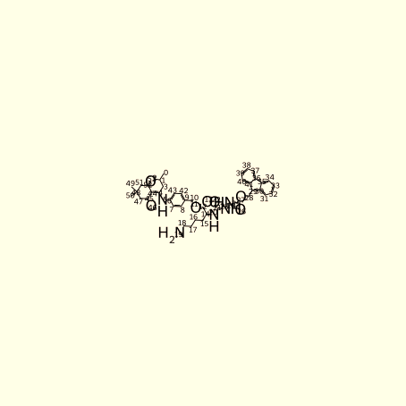 CC(C)CC(Nc1ccc(COC(=O)[C@H](CCCCN)NC(=O)NNC(=O)OCC2c3ccccc3-c3ccccc32)cc1)=C1C(=O)CC(C)(C)CC1=O